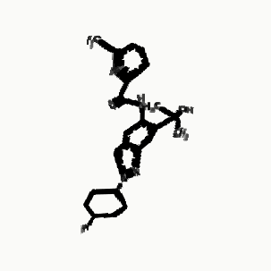 CC(C)[C@H]1CC[C@H](n2cc3cc(NC(=O)c4cccc(C(F)(F)F)n4)c(C(C)(C)O)cc3n2)CC1